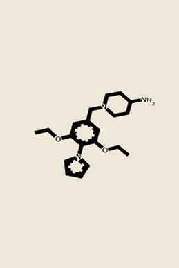 CCOc1cc(CN2CCC(N)CC2)cc(OCC)c1-n1cccc1